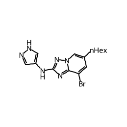 CCCCCCc1cc(Br)c2nc(Nc3cn[nH]c3)nn2c1